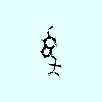 COc1cnc2c(ccn2CC(C)(C)N(C)C)c1